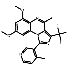 COc1cc(OC)c2nc(C)c3c(C(F)(F)F)nc(-c4cnccc4C)n3c2c1